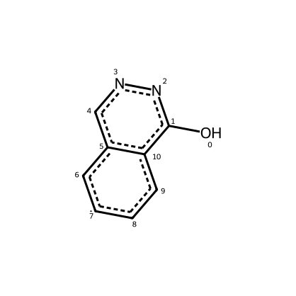 Oc1nncc2c[c]ccc12